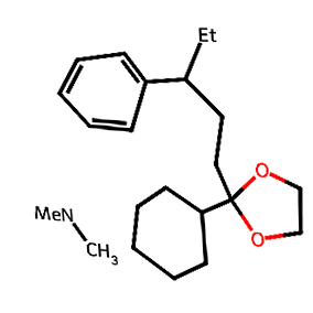 CCC(CCC1(C2CCCCC2)OCCO1)c1ccccc1.CNC